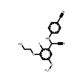 COc1cc(OCCO)c(F)c(C(C#N)Nc2ccc(C#N)cc2)c1